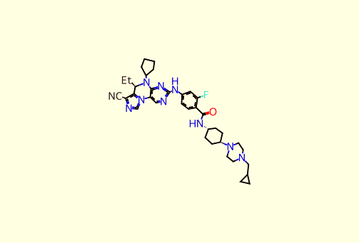 CC[C@@H]1c2c(C#N)ncn2-c2cnc(Nc3ccc(C(=O)N[C@H]4CC[C@H](N5CCN(CC6CC6)CC5)CC4)c(F)c3)nc2N1C1CCCC1